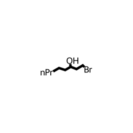 CCCCCC(O)CCBr